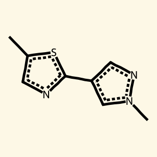 Cc1cnc(-c2cnn(C)c2)s1